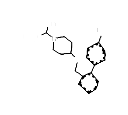 CCCC(C(=O)O)N1CCC(OCc2ccccc2-c2ccc(C)cc2)CC1.Cl